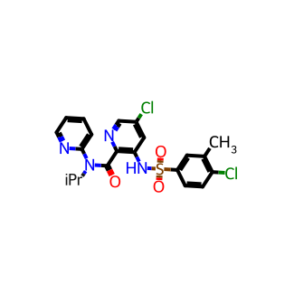 Cc1cc(S(=O)(=O)Nc2cc(Cl)cnc2C(=O)N(c2ccccn2)C(C)C)ccc1Cl